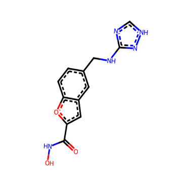 O=C(NO)c1cc2cc(CNc3nc[nH]n3)ccc2o1